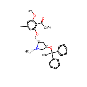 COC(=O)c1c(OC[C@@H]2C[C@@H](O[Si](c3ccccc3)(c3ccccc3)C(C)(C)C)CN2C(=O)O)cc(C)cc1OC(C)C